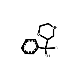 CC(C)(C)C(S)(c1ccccc1)C1CNCCO1